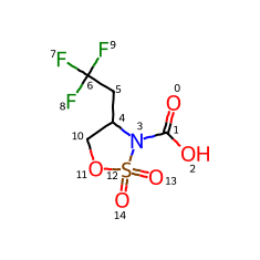 O=C(O)N1C(CC(F)(F)F)COS1(=O)=O